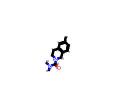 Cc1ccc2c(c1)CCN(C(=O)N(C)C)C2